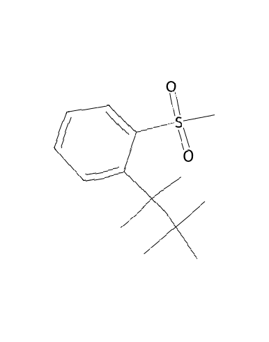 CC(C)(C)C(C)(C)c1ccccc1S(C)(=O)=O